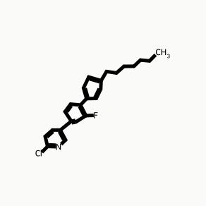 CCCCCCCc1ccc(-c2ccc(-c3ccc(Cl)nc3)cc2F)cc1